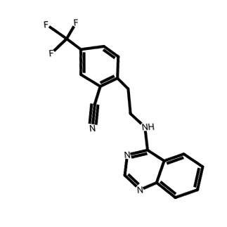 N#Cc1cc(C(F)(F)F)ccc1CCNc1ncnc2ccccc12